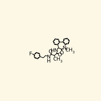 CC(C(=O)NCCc1ccc(F)cc1)C(=O)NC1C(=O)N(C)c2ccccc2-c2ccccc21